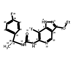 CCOc1n[nH]c2c(F)c(NC(=O)N[C@H](C)c3ccc(F)cc3)ncc12